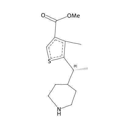 COC(=O)c1csc([C@H](C)C2CCNCC2)c1C